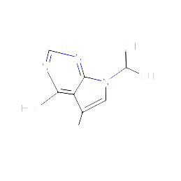 Cc1cn(C(C)C)c2ncnc(C)c12